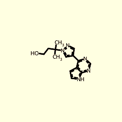 CC(C)(CCO)n1cc(-c2ncnc3[nH]ccc23)cn1